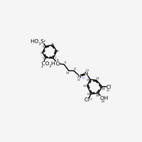 O=C(O)c1cc(S(=O)(=O)O)ccc1OCCC/N=N/c1cc(Cl)c(O)c(Cl)c1